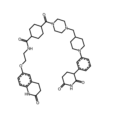 O=C1CCC(c2cccc(N3CCC(CN4CCN(C(=O)C5CCC(C(=O)NCCOc6ccc7c(c6)CCC(=O)N7)CC5)CC4)CC3)c2)C(=O)N1